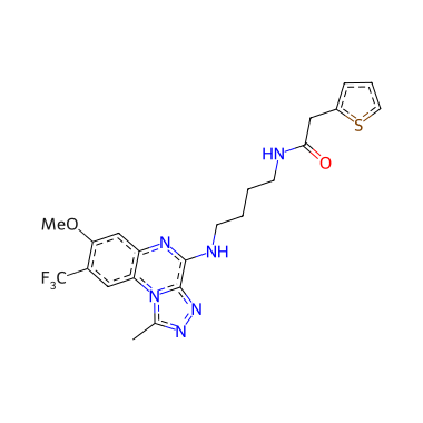 COc1cc2nc(NCCCCNC(=O)Cc3cccs3)c3nnc(C)n3c2cc1C(F)(F)F